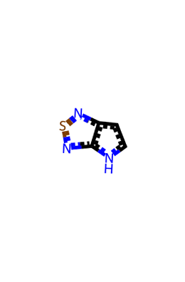 c1cc2nsnc2[nH]1